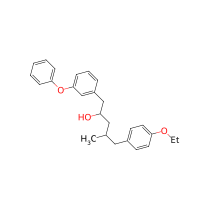 CCOc1ccc(CC(C)CC(O)Cc2cccc(Oc3ccccc3)c2)cc1